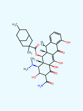 CC1CC2CC(C1)CC(C)(C(=O)O[C@H]1[C@H]3C(=C(O)[C@]4(O)C(=O)C(C(N)=O)C(O)[C@@H](N(C)C)[C@H]14)C(=O)c1c(O)cccc1[C@@H]3C)C2